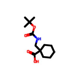 CC(C)(C)OC(=O)NCC1(C(=O)O)CC[CH]CC1